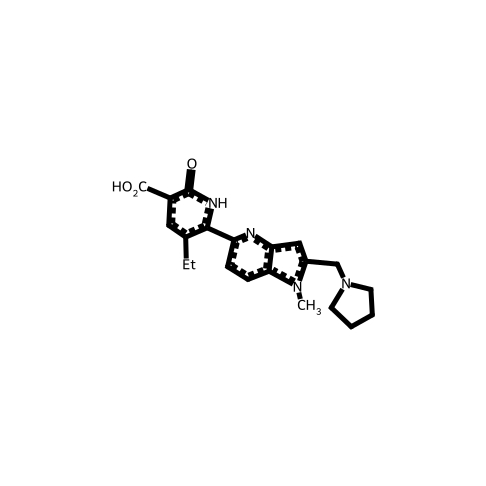 CCc1cc(C(=O)O)c(=O)[nH]c1-c1ccc2c(cc(CN3CCCC3)n2C)n1